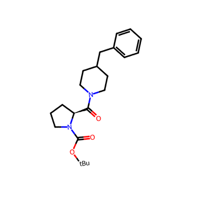 CC(C)(C)OC(=O)N1CCC[C@H]1C(=O)N1CCC(Cc2ccccc2)CC1